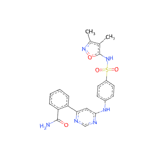 Cc1noc(NS(=O)(=O)c2ccc(Nc3cc(-c4ccccc4C(N)=O)ncn3)cc2)c1C